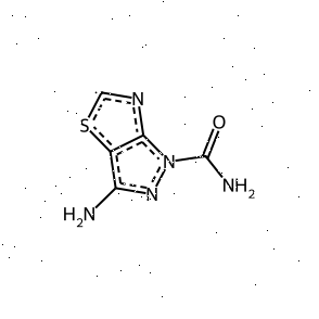 NC(=O)n1nc(N)c2s[c]nc21